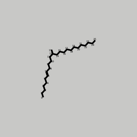 CCCCCCC=CCCCCC(C)CCCCCCCCCCCC